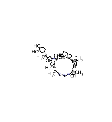 CO[C@H]1C[C@@H]2CC[C@@H](C)[C@](O)(CC(=O)N3CCCC[C@H]3C(=O)O[C@H](/C(C)=C/CC(O)[C@H](C)C[C@@H]3CC[C@@H](O)[C@H](O)C3)CC(=O)[C@H](C)C[C@H](C)/C=C/C=C/C=C/1C)O2